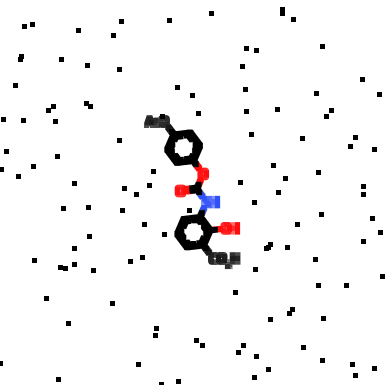 CC(=O)Oc1ccc(OC(=O)Nc2cccc(C(=O)O)c2O)cc1